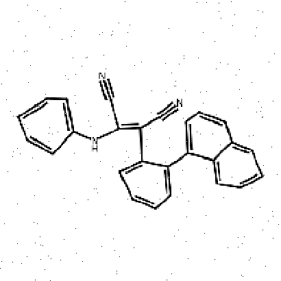 N#CC(Nc1ccccc1)=C(C#N)c1ccccc1-c1cccc2ccccc12